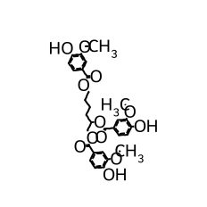 COc1cc(C(=O)OCCCCC(COC(=O)c2ccc(O)c(OC)c2)OC(=O)c2ccc(O)c(OC)c2)ccc1O